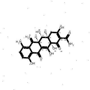 C=C1c2c(N)ccc(O)c2C(=O)C2=C(O)[C@]3(O)C(=O)C(C(N)=O)=C(O)C[C@@H]3[C@@H](O)[C@H]12